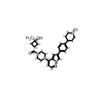 CCN1CCC(c2ccc(-c3cc4c(N5CCN(C(=O)[C@H]6C[C@](C)(O)C6)CC5)ccnn4c3)cc2)CC1